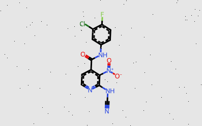 N#CNc1nccc(C(=O)Nc2ccc(F)c(Cl)c2)c1[N+](=O)[O-]